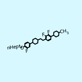 CCCCCCCOc1ccc(C2CCC(CCc3ccc(C4CCC(C)CC4)c(F)c3F)CC2)cc1F